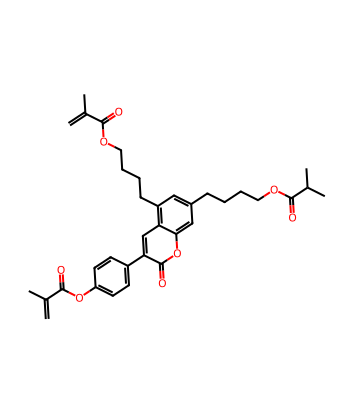 C=C(C)C(=O)OCCCCc1cc(CCCCOC(=O)C(C)C)cc2oc(=O)c(-c3ccc(OC(=O)C(=C)C)cc3)cc12